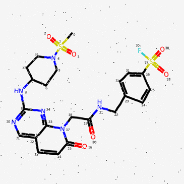 CS(=O)(=O)N1CCC(Nc2ncc3ccc(=O)n(CC(=O)NCc4ccc(S(=O)(=O)F)cc4)c3n2)CC1